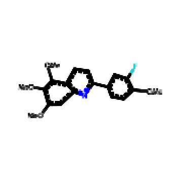 COc1ccc(-c2ccc3c(OC)c(OC)c(OC)cc3n2)cc1F